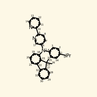 CC(C)c1ccc(N(c2ccc(-c3ccccn3)nc2)c2cccc3c2C(C)(C)c2ccccc2-3)cc1